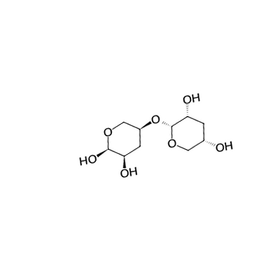 O[C@@H]1CO[C@H](O[C@@H]2CO[C@H](O)[C@H](O)C2)[C@H](O)C1